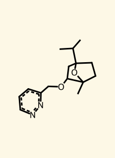 CC(C)C12CCC(C)(O1)C(OCc1cccnn1)C2